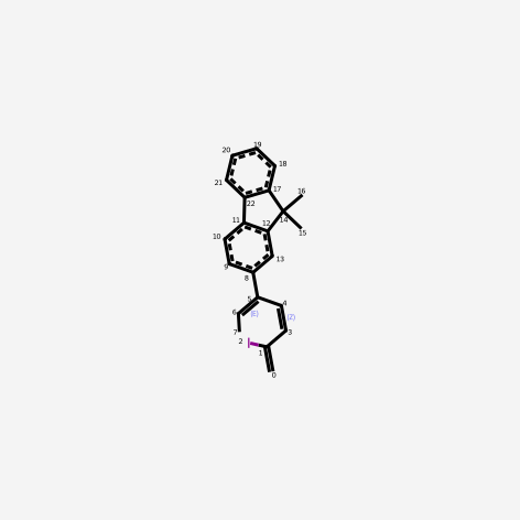 C=C(I)/C=C\C(=C/C)c1ccc2c(c1)C(C)(C)c1ccccc1-2